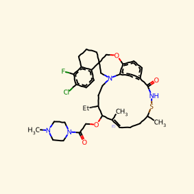 CCC1CCN2CC3(CCCc4c3ccc(Cl)c4F)COc3ccc(cc32)C(=O)NSC(C)CC/C=C(\C)C1OCC(=O)N1CCN(C)CC1